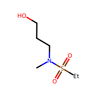 CCS(=O)(=O)N(C)CCCO